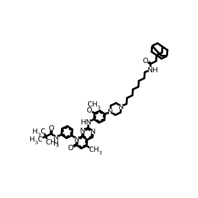 COc1cc(N2CCN(CCCCCCCCNC(=O)CC34CC5CC(CC(C5)C3)C4)CC2)ccc1Nc1ncc2c(C)cc(=O)n(-c3cccc(NC(=O)C(C)(C)C)c3)c2n1